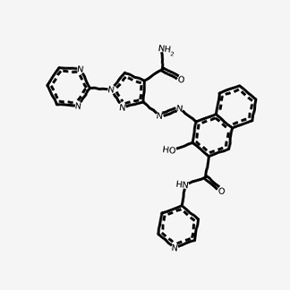 NC(=O)c1cn(-c2ncccn2)nc1/N=N/c1c(O)c(C(=O)Nc2ccncc2)cc2ccccc12